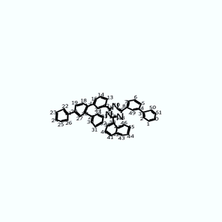 c1ccc(-c2cccc(-c3nc(-c4cccc(-c5ccc(-c6ccccc6)cc5-c5ccccc5)c4)nc(-c4cccc5ccccc45)n3)c2)cc1